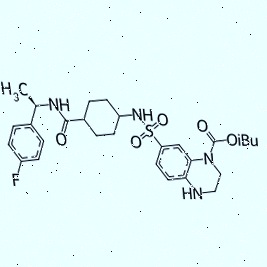 CC(C)COC(=O)N1CCNc2ccc(S(=O)(=O)NC3CCC(C(=O)N[C@H](C)c4ccc(F)cc4)CC3)cc21